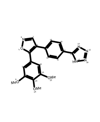 COc1cc(-c2oncc2-c2ccc(-c3nnn[nH]3)cc2)cc(OC)c1OC